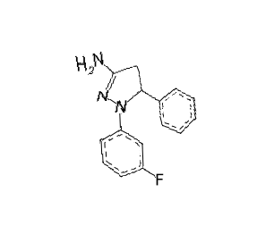 NC1=NN(c2cccc(F)c2)C(c2ccccc2)C1